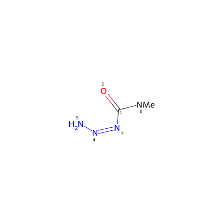 CNC(=O)/N=N\N